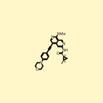 CNc1ncc(C#Cc2ccc(N3CCOCC3)cc2)c2cc(NC(=O)[C@H]3C[C@H]3C)ncc12